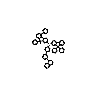 CC1(c2ccccc2)c2cc(N(c3ccc(-c4cccc(-c5cccc6ccccc56)c4)cc3)c3ccc4c(c3)C(c3ccccc3)(c3ccccc3)c3ccccc3-4)ccc2-c2c(-c3ccccc3)cccc21